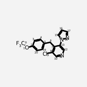 FC(F)(F)Oc1ccc(Cc2c(Cl)cncc2-n2cccn2)cc1